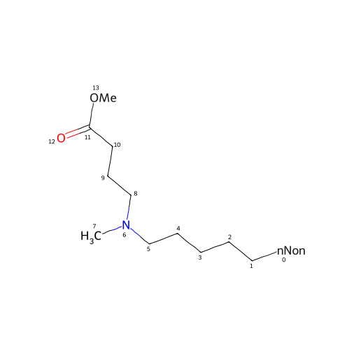 CCCCCCCCCCCCCCN(C)CCCC(=O)OC